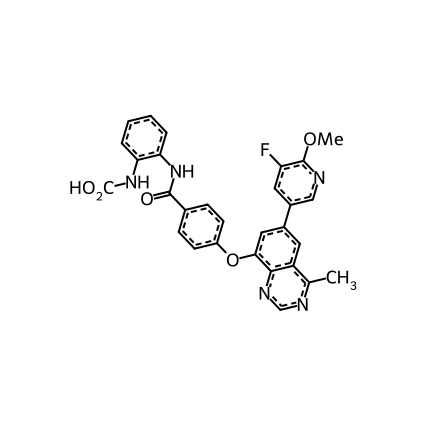 COc1ncc(-c2cc(Oc3ccc(C(=O)Nc4ccccc4NC(=O)O)cc3)c3ncnc(C)c3c2)cc1F